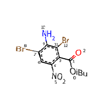 CC(C)COC(=O)c1c([N+](=O)[O-])cc(Br)c(N)c1Br